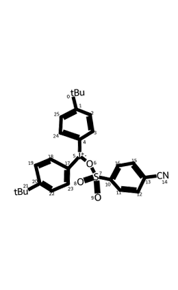 CC(C)(C)c1ccc([I+](OS(=O)(=O)c2ccc(C#N)cc2)c2ccc(C(C)(C)C)cc2)cc1